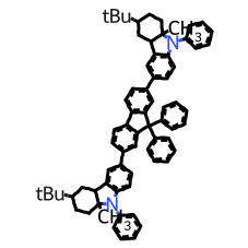 CC(C)(C)C1CCC2(C)C(C1)c1cc(-c3ccc4c(c3)C(c3ccccc3)(c3ccccc3)c3cc(-c5ccc6c(c5)C5CC(C(C)(C)C)CCC5(C)N6c5ccccc5)ccc3-4)ccc1N2c1ccccc1